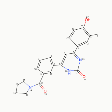 Cc1cc(-c2cc(-c3cccc(C(=O)N4CCCC4)c3)[nH]c(=O)n2)ccc1O